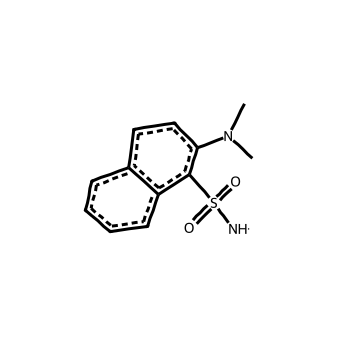 CN(C)c1ccc2ccccc2c1S([NH])(=O)=O